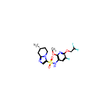 COc1nc(OCC(F)F)c(F)cc1NS(=O)(=O)c1cnc2n1CC[C@@H](C)C2